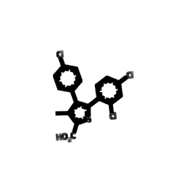 Cc1c(C(=O)O)sc(-c2ccc(Cl)cc2Cl)c1-c1ccc(Cl)cc1